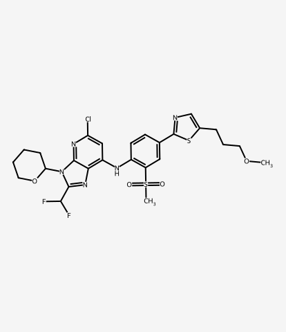 COCCCc1cnc(-c2ccc(Nc3cc(Cl)nc4c3nc(C(F)F)n4C3CCCCO3)c(S(C)(=O)=O)c2)s1